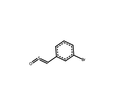 O=S=[C]c1cccc(Br)c1